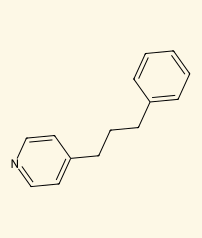 c1ccc(CCCc2ccncc2)cc1